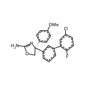 COc1ccc([C@]2(c3cccc(-c4cc(Cl)ccc4F)c3)COC(N)=N2)cc1